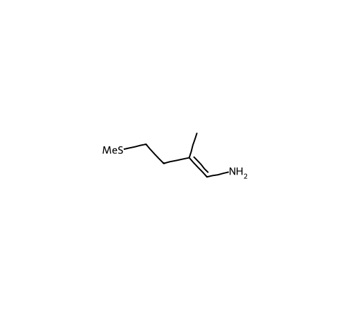 CSCC/C(C)=C/N